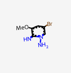 COc1cc(Br)cn(N)c1=N